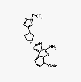 COc1cccc2c1nc(N)n1nc([C@@H]3CCN(c4cnn(CC(F)(F)F)c4)C3)nc21